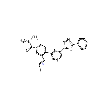 CN(C)C(=O)c1ccc(-c2cncc(-c3nnc(-c4ccccc4)o3)n2)c(/C=C/F)c1